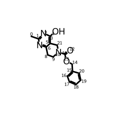 Cc1nc(O)c2c(n1)CCN(C(=O)OCc1ccccc1)C2